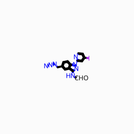 [N-]=[N+]=NCc1ccc2c(c1)c(NC=O)nn2-c1cc(I)ccn1